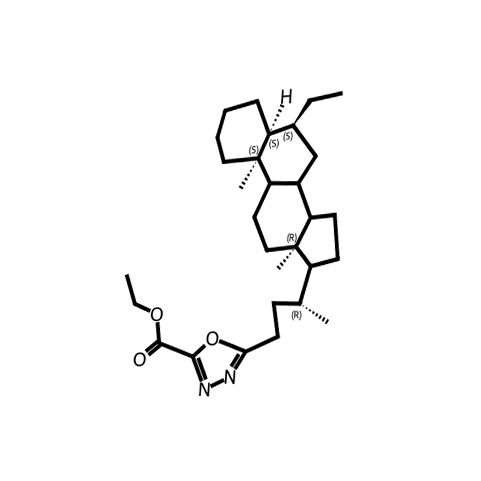 CCOC(=O)c1nnc(CC[C@@H](C)C2CCC3C4C[C@H](CC)[C@@H]5CCCC[C@]5(C)C4CC[C@@]32C)o1